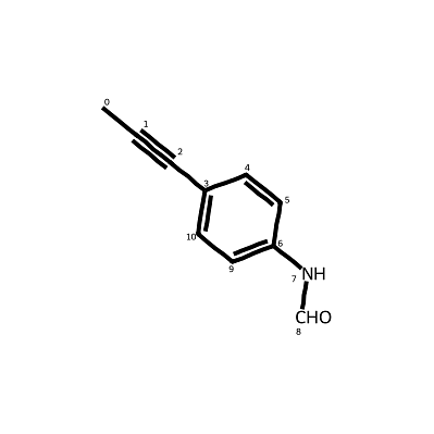 CC#Cc1ccc(NC=O)cc1